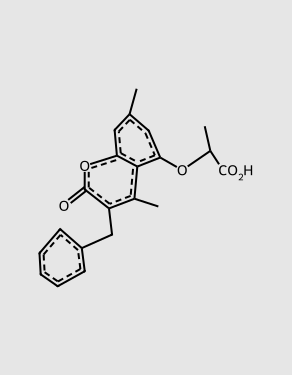 Cc1cc(OC(C)C(=O)O)c2c(C)c(Cc3ccccc3)c(=O)oc2c1